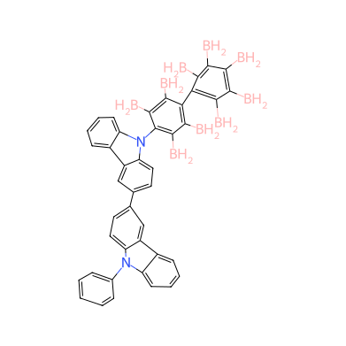 Bc1c(B)c(B)c(-c2c(B)c(B)c(-n3c4ccccc4c4cc(-c5ccc6c(c5)c5ccccc5n6-c5ccccc5)ccc43)c(B)c2B)c(B)c1B